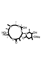 CO[C@]1(C)CC(O[C@@H]2C(C)C(=O)OC[C@@](C)(O)[C@H](O)[C@@H](C)N(C)C[C@H](C)C[C@@](C)(O)C[C@H]2C)O[C@@H](C)C1O